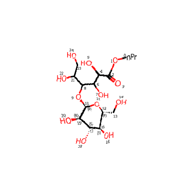 CCCOC(=O)C(O)C(O)C(O[C@H]1O[C@H](CO)[C@@H](O)[C@H](O)[C@H]1O)C(O)CO